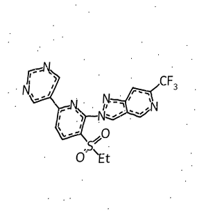 CCS(=O)(=O)c1ccc(-c2cncnc2)nc1-n1cc2cnc(C(F)(F)F)cc2n1